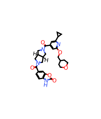 O=C(c1cc(OCC2CCOCC2)nc(C2CC2)c1)N1C[C@@H]2CN(C(=O)c3ccc4[nH]c(=O)oc4c3)C[C@H]2C1